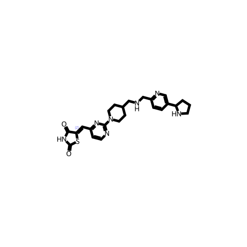 O=C1NC(=O)/C(=C/c2ccnc(N3CCC(CNCc4ccc(C5CCCN5)cn4)CC3)n2)S1